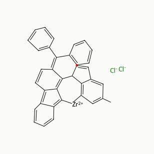 Cc1cc(C)c2c(c1)C=CC2c1c2c(ccc1=C(c1ccccc1)c1ccccc1)=c1ccccc1=[C]2[Zr+2].[Cl-].[Cl-]